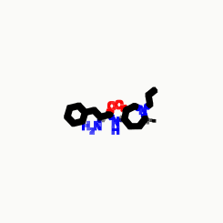 CCCN1CC(=O)[C@@H](NC(=O)[C@@H](N)CC2CCCCC2)CC[C@H]1C